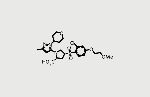 COCCOc1ccc(S(=O)(=O)[C@@H]2C[C@@H](C(=O)O)N(c3cc(C)nn3C3CCOCC3)C2)c(Cl)c1